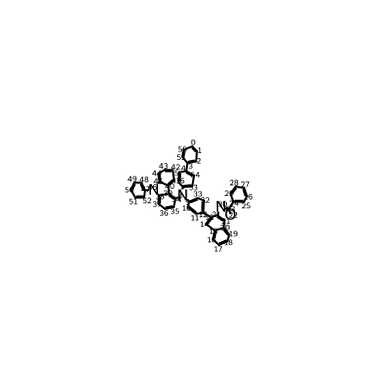 c1ccc(-c2ccc(N(c3ccc(-c4cc5ccccc5c5oc(-c6ccccc6)nc45)cc3)c3cccc4c3c3ccccc3n4-c3ccccc3)cc2)cc1